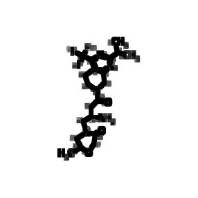 CC(C)c1nc2c(c(C(F)(F)F)n1)CCN(C(=O)C[C@@H](N)CN1C[C@H](C)OCC1=O)C2